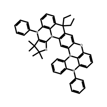 CCC1(CC)c2cc3c(cc2B2C4=C(N(c5ccccc5)c5cccc1c52)C(C)(C)C(C)(C)S4)B1c2ccccc2N(c2ccccc2)c2cccc(c21)O3